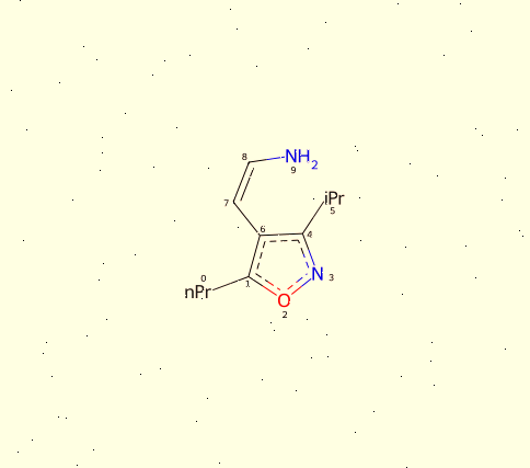 CCCc1onc(C(C)C)c1/C=C\N